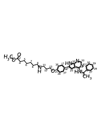 COC(=O)CCCCCCNCCCOc1ccc(-c2cc3c(NC(C)c4ccccc4)ncnc3[nH]2)cc1